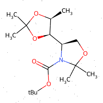 C[C@@H]1OC(C)(C)O[C@@H]1[C@H]1COC(C)(C)N1C(=O)OC(C)(C)C